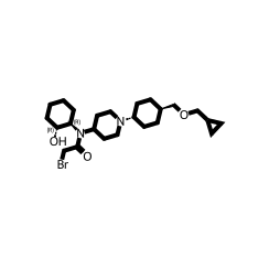 O=C(CBr)N(C1CCN([C@H]2CC[C@H](COCC3CC3)CC2)CC1)[C@@H]1CCCC[C@H]1O